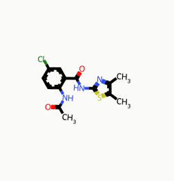 CC(=O)Nc1ccc(Cl)cc1C(=O)Nc1nc(C)c(C)s1